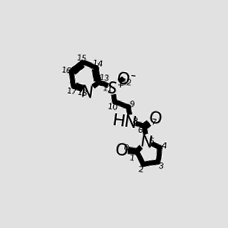 O=C1CCCN1C(=O)NCC[S+]([O-])c1ccccn1